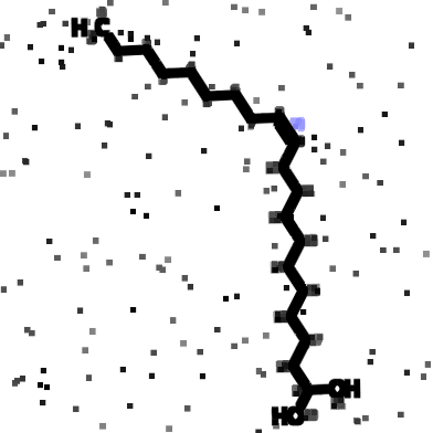 CCCCCCCC/C=C\CCCCCCC[CH]CC(O)O